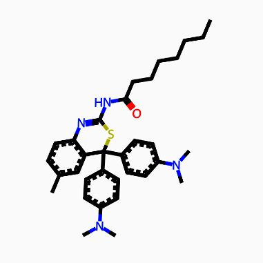 CCCCCCCC(=O)NC1=Nc2ccc(C)cc2C(c2ccc(N(C)C)cc2)(c2ccc(N(C)C)cc2)S1